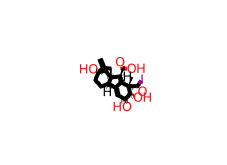 C=C1C[C@]23C[C@@]1(O)CC[C@H]2C1=C[C@@H](O)[C@H](O)[C@@](C)(C(=O)I)[C@H]1[C@@H]3C(=O)O